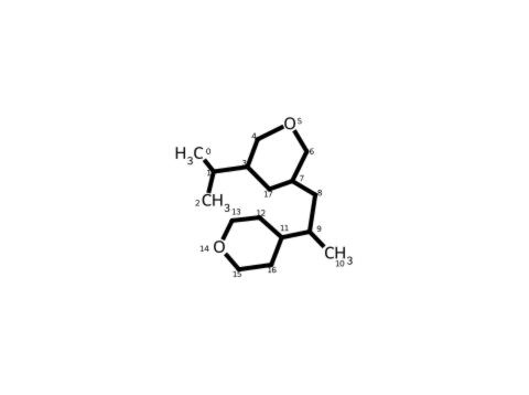 CC(C)C1COCC(CC(C)C2CCOCC2)C1